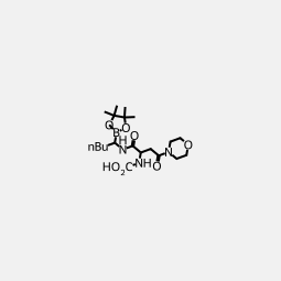 CCCCC(NC(=O)C(CC(=O)N1CCOCC1)NC(=O)O)B1OC(C)(C)C(C)(C)O1